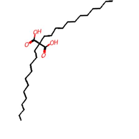 CCCCCCCCCCCCC(CCCCCCCCCCCC)(C(=O)O)C(=O)O